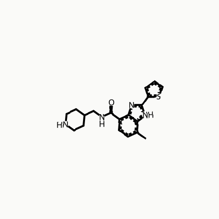 Cc1ccc(C(=O)NCC2CCNCC2)c2nc(-c3cccs3)[nH]c12